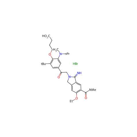 Br.CCCN(C)c1cc(C(=O)CN2Cc3cc(OCC)c(C(=O)NC)cc3C2=N)cc(C(C)(C)C)c1OCCCC(=O)O